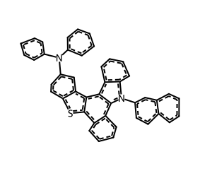 c1ccc(N(c2ccccc2)c2ccc3sc4c5ccccc5c5c(c6ccccc6n5-c5ccc6ccccc6c5)c4c3c2)cc1